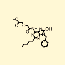 CCCCCc1nc(NC(=O)COCC(=O)OC)c2nc(O)n(Cc3ccccc3)c2n1